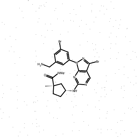 CNC(=O)[C@]1(C)CC[C@@H](Nc2ncc3c(Br)nn(-c4cc(Br)cc(CN)c4)c3n2)C1